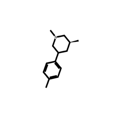 Cc1ccc(C2C[C@H](C)CN(C)C2)cc1